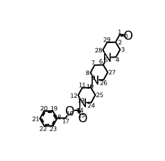 O=CC1CCN(C2CCN(C3CCN(C(=O)OCc4ccccc4)CC3)CC2)CC1